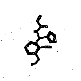 C=CC(=O)NC(c1ccco1)c1cccc(CC(C)C)c1OC